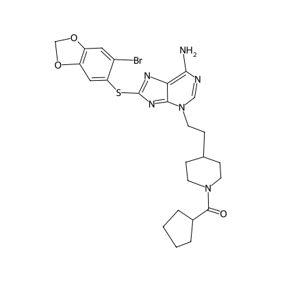 Nc1ncn(CCC2CCN(C(=O)C3CCCC3)CC2)c2nc(Sc3cc4c(cc3Br)OCO4)nc1-2